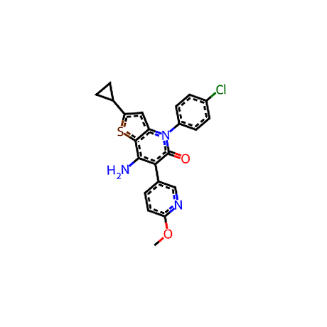 COc1ccc(-c2c(N)c3sc(C4CC4)cc3n(-c3ccc(Cl)cc3)c2=O)cn1